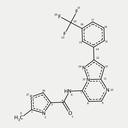 Cc1nc(C(=O)Nc2ccnc3cc(-c4cccc(C(F)(F)F)c4)nn23)cs1